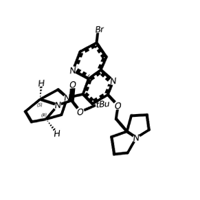 CC(C)(C)OC(=O)N1[C@@H]2CC[C@H]1CN(c1cc(OCC34CCCN3CCC4)nc3cc(Br)cnc13)C2